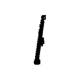 CCCCCC.ClCCCCCCCCCC/C=C/CCCCCCCCCC/C=C/CCCCCCCCCCCC1OCCO1